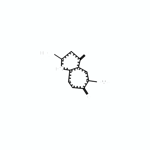 COc1cc2c(=O)cc(C(=O)O)[nH]c2ccc1=O